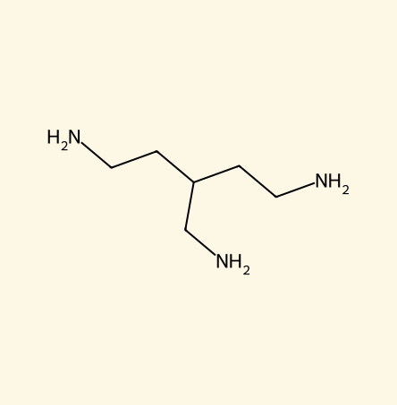 NCCC(CN)CCN